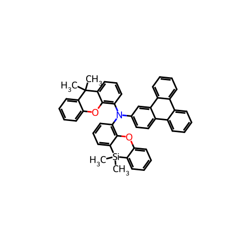 CC1(C)c2ccccc2Oc2c(N(c3ccc4c5ccccc5c5ccccc5c4c3)c3cccc4c3Oc3ccccc3[Si]4(C)C)cccc21